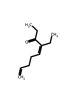 C=CCCC=C(CC)C(=O)CC